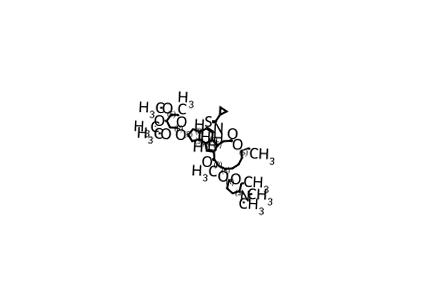 CC[C@H]1CCC[C@H](O[C@H]2CC[C@H](N(C)C)C(C)O2)[C@@H](C)C(=O)C2=C[C@H]3[C@@H]4C[C@H](O[C@@H]5OC(C)[C@H](OC)C(OC)C5OC)C[C@H]4c4sc(C5CC5)nc4[C@H]3[C@@H]2CC(=O)O1